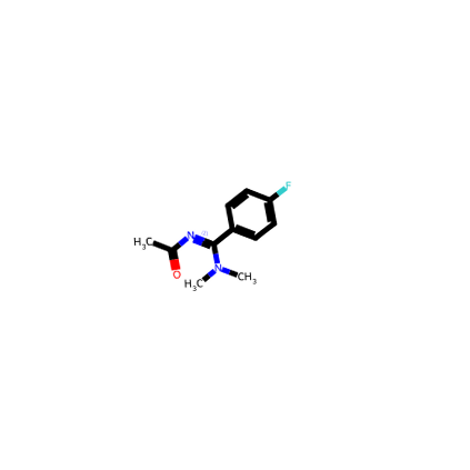 CC(=O)/N=C(/c1ccc(F)cc1)N(C)C